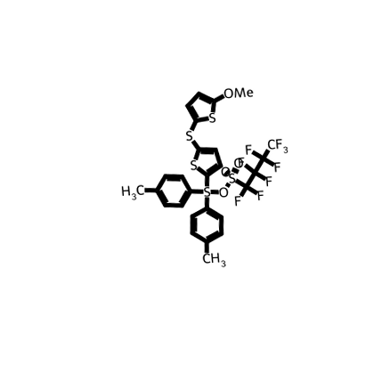 COc1ccc(Sc2ccc(S(OS(=O)(=O)C(F)(F)C(F)(F)C(F)(F)C(F)(F)F)(c3ccc(C)cc3)c3ccc(C)cc3)s2)s1